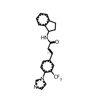 O=C(/C=C/c1ccc(-n2ccnc2)c(C(F)(F)F)c1)NC1CCc2ccccc21